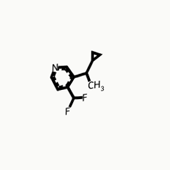 CC(c1cnccc1C(F)F)C1CC1